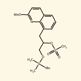 COc1ccc2cccc(CC(CO[Si](C)(C)C(C)(C)C)OS(C)(=O)=O)c2n1